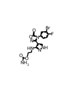 NC(=O)OCCNc1n[nH]cc1-c1noc(=O)n1-c1ccc(F)c(Br)c1